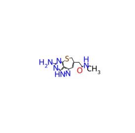 CNC(=O)CC1=Cc2n[nH]c3nc(N)nc(c23)SC1